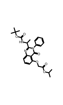 CC(C)OC(=O)COc1cccc2nc(C(C)NC(=O)OC(C)(C)C)n(-c3ccccc3)c(=O)c12